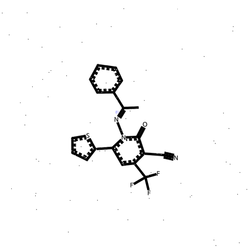 C/C(=N\n1c(-c2cccs2)cc(C(F)(F)F)c(C#N)c1=O)c1ccccc1